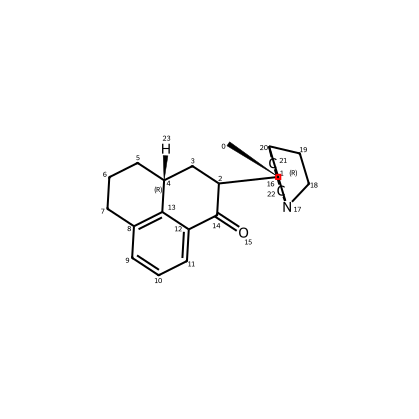 C[C@@]1(C2C[C@H]3CCCc4cccc(c43)C2=O)CN2CCC1CC2